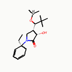 CC[C@@]1(N2C[C@H](C(O[SiH](C)C)C(C)(C)C)[C@H](O)C2=O)C=CC=CC1